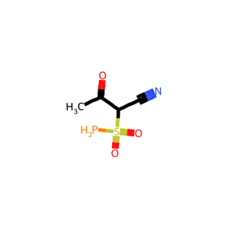 CC(=O)C(C#N)S(=O)(=O)P